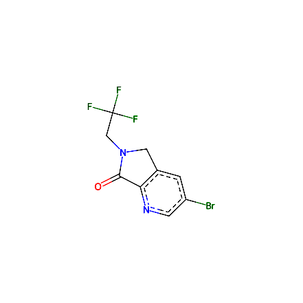 O=C1c2ncc(Br)cc2CN1CC(F)(F)F